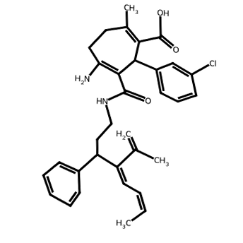 C=C(C)/C(=C\C=C/C)C(CCNC(=O)C1=C(N)CCC(C)=C(C(=O)O)C1c1cccc(Cl)c1)c1ccccc1